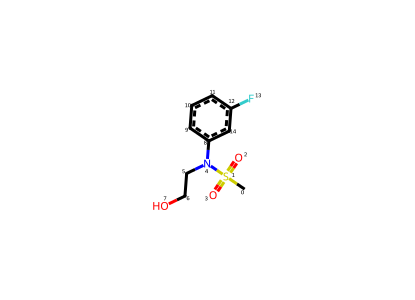 CS(=O)(=O)N(CCO)c1cccc(F)c1